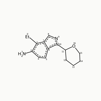 CCc1c(N)ccc2c1cnn2C1CCCCO1